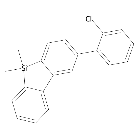 C[Si]1(C)c2ccccc2-c2cc(-c3ccccc3Cl)ccc21